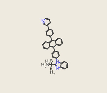 BC(B)(B)c1nc2ccccc2n1-c1ccc(-c2c3ccccc3c(-c3ccc(-c4cccnc4)cc3)c3ccccc23)cc1